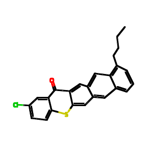 CCCCc1cccc2cc3cc4sc5ccc(Cl)cc5c(=O)c4cc3cc12